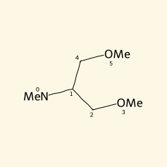 CNC(COC)COC